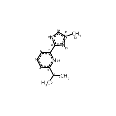 CC(C)c1cccc(-c2ncn(C)n2)n1